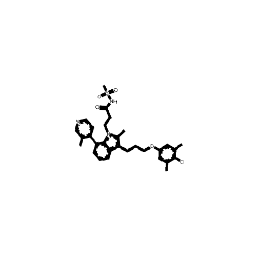 Cc1cnccc1-c1cccc2c(CCCOc3cc(C)c(Cl)c(C)c3)c(C)n(CCC(=O)NS(C)(=O)=O)c12